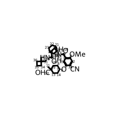 COc1cc(C#N)c(O[C@H]2CC[C@@](C)(C=O)CC2)cc1C(=O)N[C@@H]1C2CCC(CC2)[C@@H]1C(=O)NCC1(C)CCC1